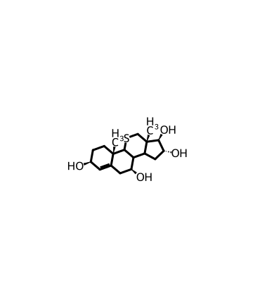 C[C@]12CC[C@H](O)C=C1C[C@H](O)C1C2SC[C@@]2(C)C1C[C@@H](O)[C@@H]2O